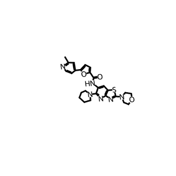 Cc1cc(-c2ccc(C(=O)Nc3cc4sc(N5CCOCC5)nc4nc3N3CCCCC3)o2)ccn1